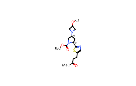 CCOC1CN([C@H]2C[C@@H](c3ncc(CCC(=O)OC)s3)N(C(=O)OC(C)(C)C)C2)C1